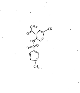 COC(=O)c1cc(C#N)ccc1NS(=O)(=O)c1ccc(C)cc1